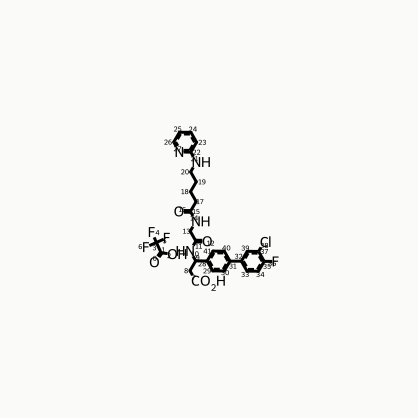 O=C(O)C(F)(F)F.O=C(O)CC(NC(=O)CNC(=O)CCCCNc1ccccn1)c1ccc(-c2ccc(F)c(Cl)c2)cc1